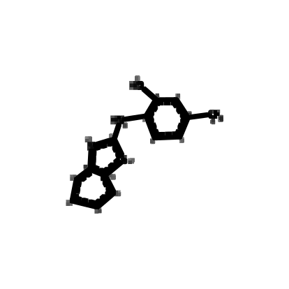 Oc1cc(C(F)(F)F)ccc1Nc1nc2ccccc2s1